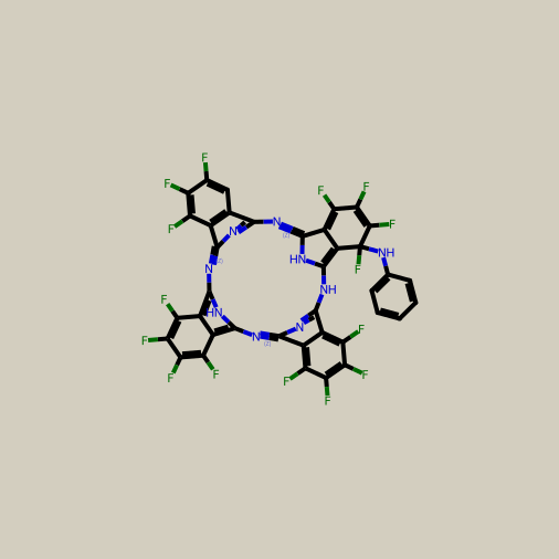 FC1=C(F)C(F)(Nc2ccccc2)c2c3[nH]/c(c2=C1F)=N\C1=NC(=N\c2[nH]c(c4c(F)c(F)c(F)c(F)c24)/N=C2\N=C(N3)c3c(F)c(F)c(F)c(F)c32)/c2c1cc(F)c(F)c2F